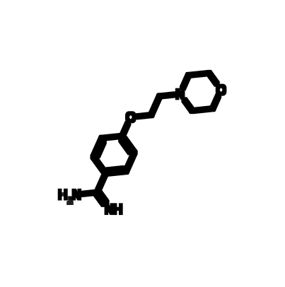 N=C(N)c1ccc(OCCN2CCOCC2)cc1